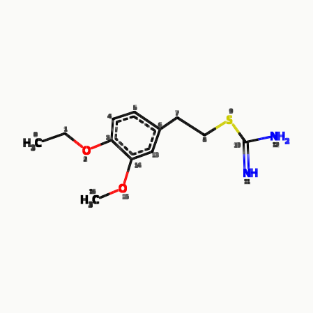 CCOc1ccc(CCSC(=N)N)cc1OC